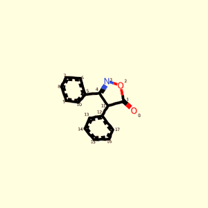 O=C1ON=C(c2ccccc2)C1c1ccccc1